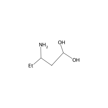 CCC(N)CC(O)O